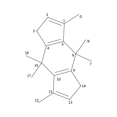 CC1=CCC2=C1C(C)(C)C1=C(C(C)=CC1)C2(C)C